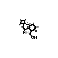 NC1CC2(CCC2)Oc2cccc(CO)c21